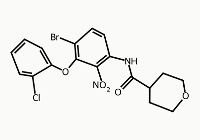 O=C(Nc1ccc(Br)c(Oc2ccccc2Cl)c1[N+](=O)[O-])C1CCOCC1